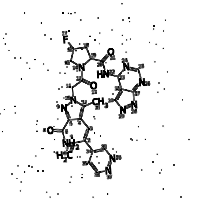 C=C/C(=C\c1c(C(N)=O)nn(CC(=O)N2CC(F)CC2C(=O)NC2N=CN=C3N=NC=C32)c1C)c1ccnnc1